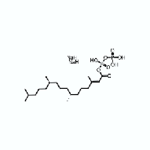 C/C(=C\C(=O)OP(=O)(O)OP(=O)(O)O)CCC[C@H](C)CCC[C@H](C)CCCC(C)C.[NaH].[NaH]